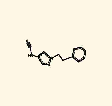 N#CNc1cnn(CCc2ccccc2)c1